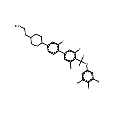 CCCC1CCC(c2ccc(-c3cc(F)c(C(F)(F)Oc4cc(F)c(F)c(F)c4)c(F)c3)c(F)c2)OC1